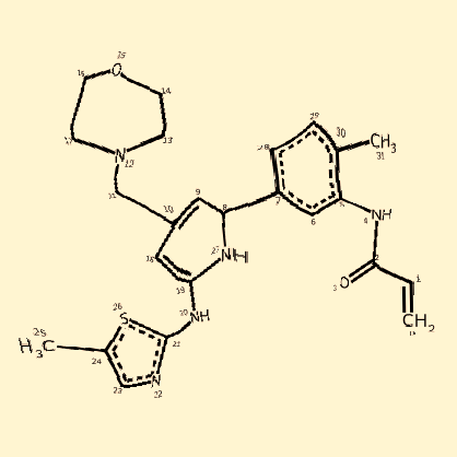 C=CC(=O)Nc1cc(C2C=C(CN3CCOCC3)C=C(Nc3ncc(C)s3)N2)ccc1C